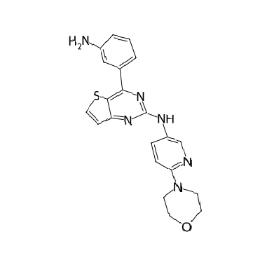 Nc1cccc(-c2nc(Nc3ccc(N4CCOCC4)nc3)nc3ccsc23)c1